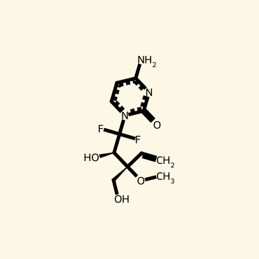 C=C[C@](CO)(OC)[C@@H](O)C(F)(F)n1ccc(N)nc1=O